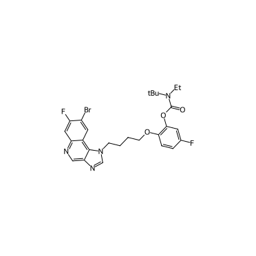 CCN(C(=O)Oc1cc(F)ccc1OCCCCn1cnc2cnc3cc(F)c(Br)cc3c21)C(C)(C)C